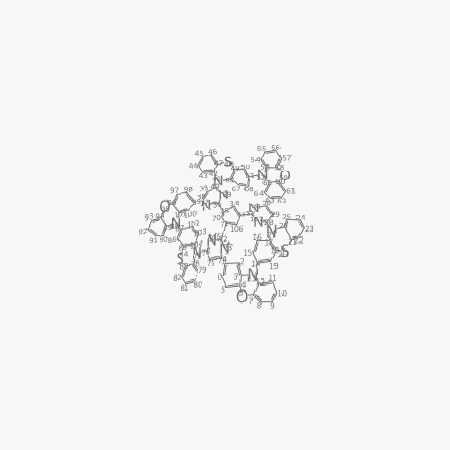 c1ccc2c(c1)Oc1ccccc1N2c1ccc2c(c1)Sc1ccccc1N2c1ccnc(-c2cc(-c3nccc(N4c5ccccc5Sc5cc(N6c7ccccc7Oc7ccccc76)ccc54)n3)cc(-c3nccc(N4c5ccccc5Sc5cc(N6c7ccccc7Oc7ccccc76)ccc54)n3)c2)n1